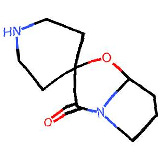 O=C1N2CCCC2OC12CCNCC2